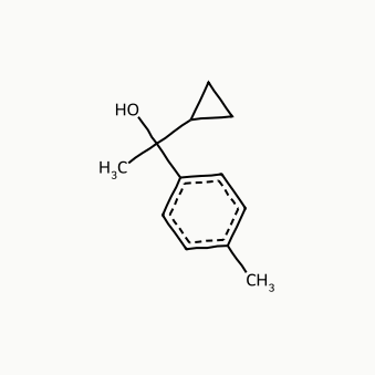 Cc1ccc(C(C)(O)C2CC2)cc1